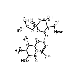 CNC(=O)C1C(C[C@H](/C=C/C(C)C)OC2OC(C)C(O)C(N)C2O)O[C@](O)(C[C@@H](O)C(C)C)C[C@@H]1O